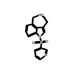 O=S(=O)(c1cccnc1)n1cc2c3c(cccc31)CNCC2